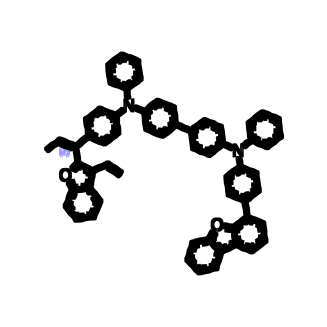 C=Cc1c(/C(=C\C)c2ccc(N(c3ccccc3)c3ccc(-c4ccc(N(c5ccccc5)c5ccc(-c6cccc7c6oc6ccccc67)cc5)cc4)cc3)cc2)oc2ccccc12